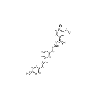 OCc1cc([C@@H](O)CNCCc2cccc(COCc3ccc(O)cc3)c2)ccc1O